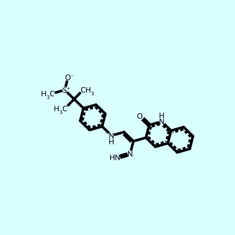 C[S+]([O-])C(C)(C)c1ccc(N/C=C(\N=N)c2cc3ccccc3[nH]c2=O)cc1